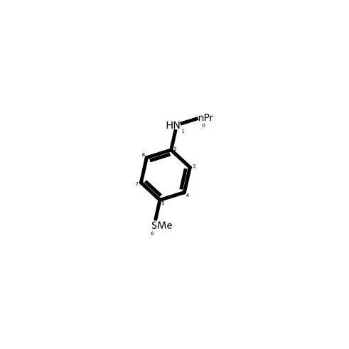 CCCNc1ccc(SC)cc1